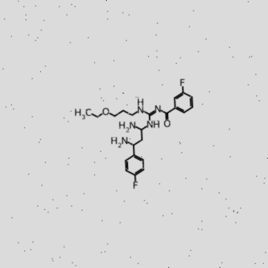 CCOCCCN/C(=N/C(=O)c1cccc(F)c1)NC(N)CC(N)c1ccc(F)cc1